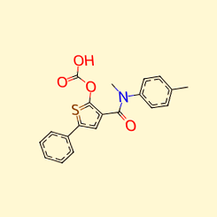 Cc1ccc(N(C)C(=O)c2cc(-c3ccccc3)sc2OC(=O)O)cc1